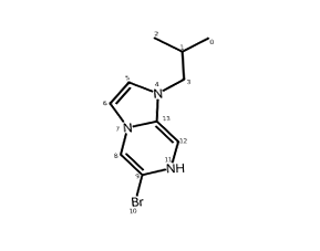 CC(C)CN1C=CN2C=C(Br)NC=C21